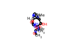 C=CC(=O)N1CC[C@H](C(=O)N(C)[C@H](C(=O)N[C@H]2Cc3cc(O)cc(c3)-c3ccc4c(c3)c(c(-c3cnn5c3[C@@H](OC)CCC5)n4CC)CC(C)(C)COC(=O)[C@@H]3CCCN(N3)C2=O)C(C)C)C1